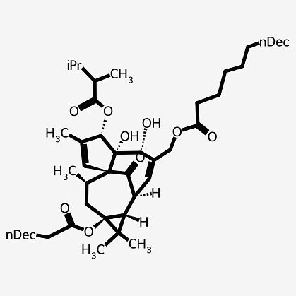 CCCCCCCCCCCCCCCC(=O)OCC1=C[C@@H]2C(=O)[C@]3(C=C(C)[C@H](OC(=O)C(C)C(C)C)[C@@]3(O)[C@@H]1O)[C@H](C)C[C@]1(OC(=O)CCCCCCCCCCC)[C@H]2C1(C)C